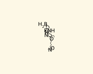 Bc1ccc(Nc2ncnc3cc(OCCCCCC(=O)N(C)C)c(CC)cc23)c(F)c1